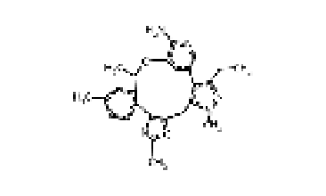 CCc1nn(C)c2c1-c1cnc(N)c(c1)OC(C)c1cc(C)ccc1-c1nc(C)sc1C2